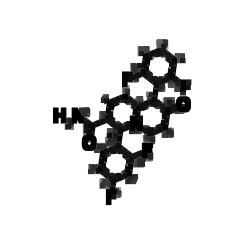 NC(=O)c1ccc2c(-c3c(F)cccc3F)c(=O)ccn2c1-c1ccc(F)cc1F